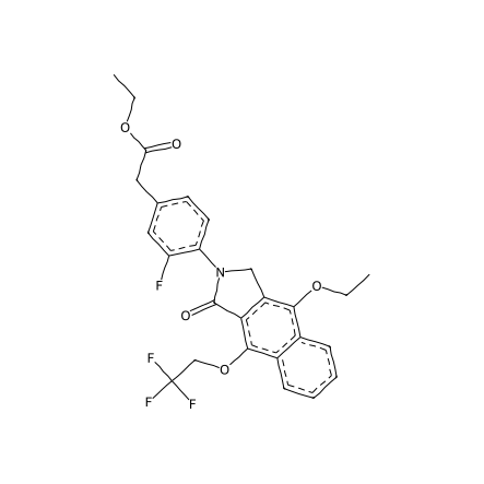 CCOC(=O)Cc1ccc(N2Cc3c(c(OCC(F)(F)F)c4ccccc4c3OCC)C2=O)c(F)c1